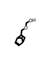 OCOCC1CC2C=CC1C2